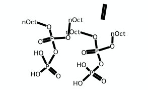 C=C.CCCCCCCCOP(=O)(OCCCCCCCC)OP(=O)(O)O.CCCCCCCCOP(=O)(OCCCCCCCC)OP(=O)(O)O